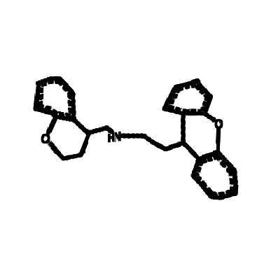 c1ccc2c(c1)OCCC2CNCCC1c2ccccc2Oc2ccccc21